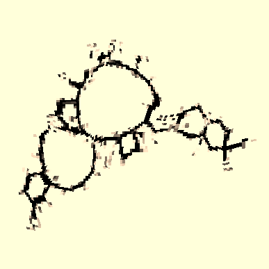 CO[C@@]1(CN2CCN3CCC(F)(F)C[C@@H]3C2)/C=C/C[C@H](C)[C@@H](C)S(=O)(=O)NC(=O)c2ccc3c(c2)N(CCCCc2cc(Cl)ccc2CCO3)C[C@@H]2CC[C@H]21